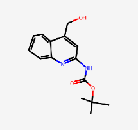 CC(C)(C)OC(=O)Nc1cc(CO)c2ccccc2n1